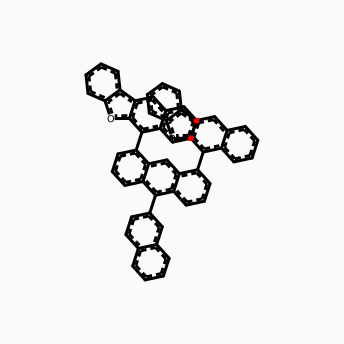 c1ccc2cc(-c3c4cccc(-c5c6ccccc6cc6c5oc5ccccc56)c4cc4c(-c5c6ccccc6cc6c5oc5ccccc56)cccc34)ccc2c1